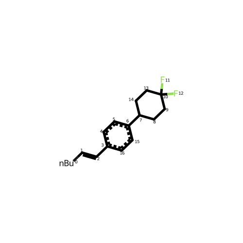 CCCC/C=C/c1ccc(C2CCC(F)(F)CC2)cc1